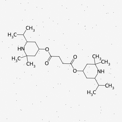 CC(C)C1CC(OC(=O)CCC(=O)OC2CC(C(C)C)NC(C)(C)C2)CC(C)(C)N1